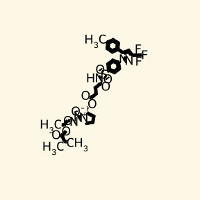 Cc1ccc(-c2cc(C(F)(F)F)nn2-c2ccc(S(=O)(=O)NC(=O)CCC(=O)OC[C@@H]3CCCN3/[N+]([O-])=N/OC(C)OC(=O)C(C)C)cc2)cc1